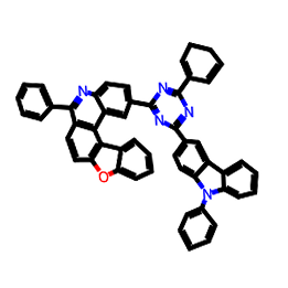 C1=CC(c2nc(-c3ccc4nc(-c5ccccc5)c5ccc6oc7ccccc7c6c5c4c3)nc(-c3ccc4c(c3)c3ccccc3n4-c3ccccc3)n2)=CCC1